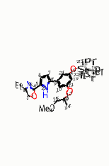 CC[C@@H]1COC(c2ccc(-c3cc(O[C@@H](C)COC)cc(O[Si](C(C)C)(C(C)C)C(C)C)c3)[nH]2)=N1